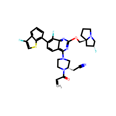 C=CC(=O)N1CCN(c2nc(OC[C@@]34CCCN3C[C@H](F)C4)nc3c(F)c(-c4cccc5c(F)csc45)ccc23)C[C@@H]1CC#N